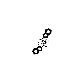 C[S](C1=Cc2ccccc2C1)=[Zr]([Cl])([Cl])=[S](C)C1=Cc2ccccc2C1